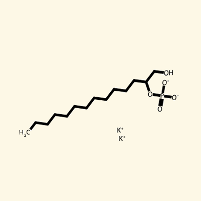 CCCCCCCCCCCCC(CO)OP(=O)([O-])[O-].[K+].[K+]